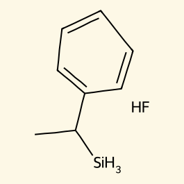 CC([SiH3])c1ccccc1.F